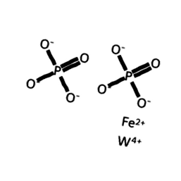 O=P([O-])([O-])[O-].O=P([O-])([O-])[O-].[Fe+2].[W+4]